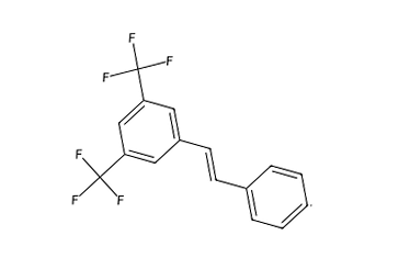 FC(F)(F)c1cc(C=Cc2cc[c]cc2)cc(C(F)(F)F)c1